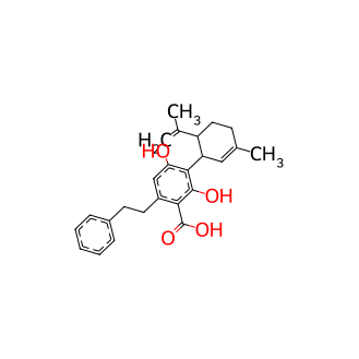 C=C(C)C1CCC(C)=CC1c1c(O)cc(CCc2ccccc2)c(C(=O)O)c1O